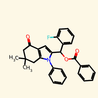 CC1(C)CC(=O)c2cc(C(OC(=O)c3ccccc3)c3ccccc3F)n(-c3ccccc3)c2C1